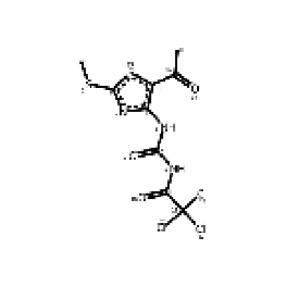 CSc1nc(NC(=O)NC(=O)C(Cl)(Cl)Cl)c(C(C)=O)s1